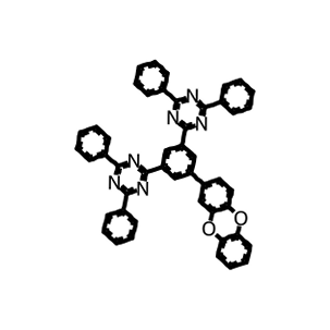 c1ccc(-c2nc(-c3ccccc3)nc(-c3cc(-c4ccc5c(c4)Oc4ccccc4O5)cc(-c4nc(-c5ccccc5)nc(-c5ccccc5)n4)c3)n2)cc1